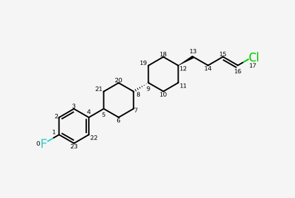 Fc1ccc(C2CCC([C@H]3CC[C@H](CC/C=C/Cl)CC3)CC2)cc1